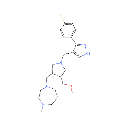 COCC1CN(Cc2c[nH]nc2-c2ccc(F)cc2)CC1CN1CCCN(C)CC1